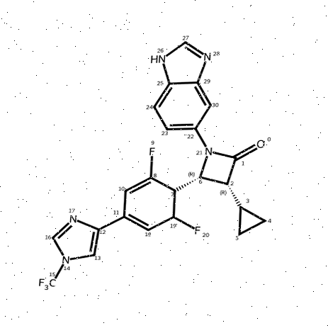 O=C1[C@H](C2CC2)[C@H](C2C(F)=CC(c3cn(C(F)(F)F)cn3)=CC2F)N1c1ccc2[nH]cnc2c1